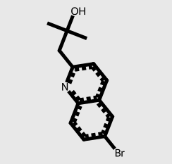 CC(C)(O)Cc1ccc2cc(Br)ccc2n1